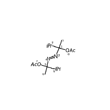 CC(=O)OC(C)(N=NC(C)(OC(C)=O)C(C)C)C(C)C